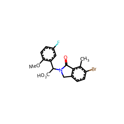 COc1ccc(F)cc1C(C(=O)O)N1Cc2ccc(Br)c(C)c2C1=O